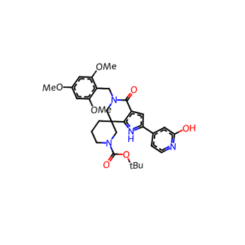 COc1cc(OC)c(CN2CC3(CCCN(C(=O)OC(C)(C)C)C3)c3[nH]c(-c4ccnc(O)c4)cc3C2=O)c(OC)c1